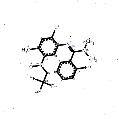 Cc1cc(F)c(/N=C(\c2ccccc2F)N(C)C)cc1[S+]([O-])CC(F)(F)F